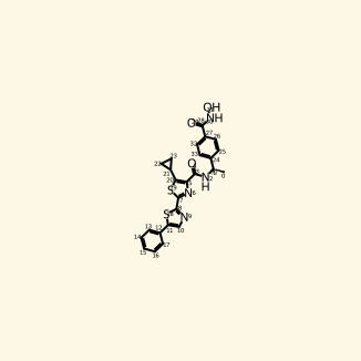 C[C@@H](NC(=O)c1nc(-c2ncc(-c3ccccc3)s2)sc1C1CC1)c1ccc(C(=O)NO)cc1